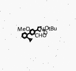 COc1cc(C2CCN(C(=O)OC(C)(C)C)C2)c(C=O)cc1-c1ccccc1C1CC1